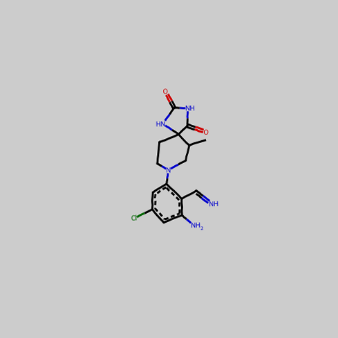 CC1CN(c2cc(Cl)cc(N)c2C=N)CCC12NC(=O)NC2=O